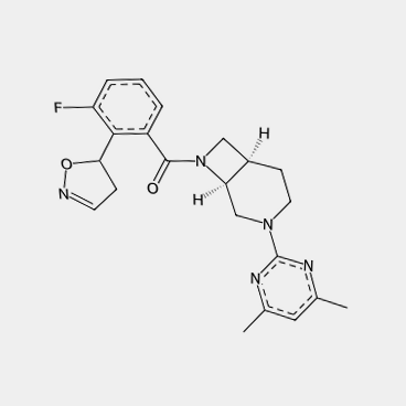 Cc1cc(C)nc(N2CC[C@@H]3CN(C(=O)c4cccc(F)c4C4CC=NO4)[C@@H]3C2)n1